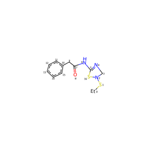 CCSN1CN=C(NC(=O)Cc2ccccc2)S1